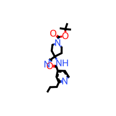 CCCc1cc(C(=O)NC2(C#N)CCN(C(=O)OC(C)(C)C)CC2)ccn1